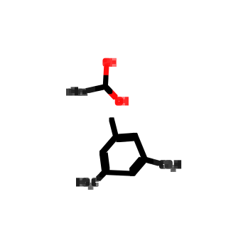 CCCCCCC(O)O.Cc1cc(C(=O)O)cc(C(=O)O)c1